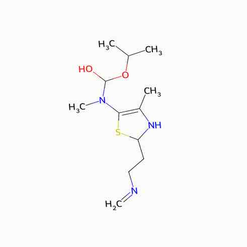 C=NCCC1NC(C)=C(N(C)C(O)OC(C)C)S1